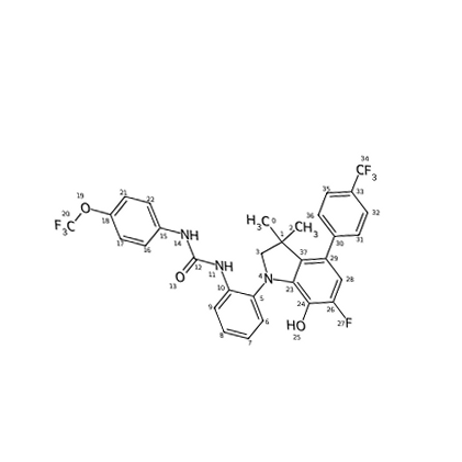 CC1(C)CN(c2ccccc2NC(=O)Nc2ccc(OC(F)(F)F)cc2)c2c(O)c(F)cc(-c3ccc(C(F)(F)F)cc3)c21